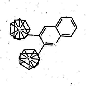 c1ccc2nc([C]34[CH]5[CH]6[CH]7[CH]3[Fe]6754389%10[CH]4[CH]3[CH]8[CH]9[CH]4%10)c([C]34[CH]5[CH]6[CH]7[CH]3[Fe]6754389%10[CH]4[CH]3[CH]8[CH]9[CH]4%10)cc2c1